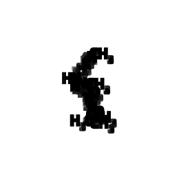 CN1CCN(c2ccc(Nc3ncc4cc(N5CCN(C(=O)OC(C)(C)C)CC56CC6)c(=O)n(C)c4n3)cc2)CC1